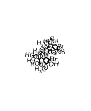 COc1cc(C2NC(=O)N(CC(=O)O)C(C)=C2C(=O)O)cc(Br)c1O.COc1cc(C2NC(=O)NC(C)=C2C(=O)OC(C)C)cc(Br)c1O